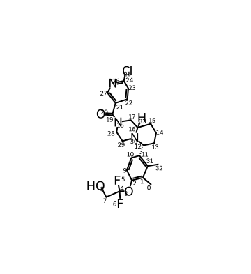 Cc1c(OC(F)(F)CO)ccc([C@H]2CCC[C@H]3CN(C(=O)c4ccc(Cl)nc4)CCN32)c1C